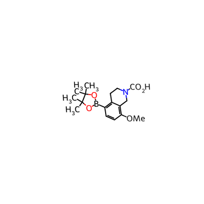 COc1ccc(B2OC(C)(C)C(C)(C)O2)c2c1CN(C(=O)O)CC2